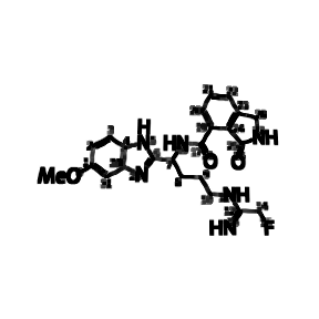 COc1ccc2[nH]c(C(CCCNC(=N)CF)NC(=O)c3cccc4c3C(=O)NC4)nc2c1